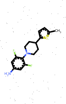 Cc1ccc(C2CCN(c3c(F)cc(N)cc3F)CC2)s1